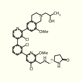 COc1cc(-c2nccc(-c3cccc(-c4cc(Cl)c(CNC[C@@H]5CCC(=O)N5)c(OC)n4)c3Cl)c2Cl)cc2c1CN(CC(C)O)CC2